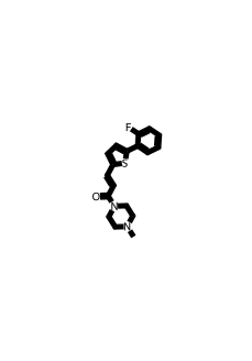 CN1CCN(C(=O)/C=C/c2ccc(-c3ccccc3F)s2)CC1